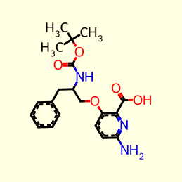 CC(C)(C)OC(=O)NC(COc1ccc(N)nc1C(=O)O)Cc1ccccc1